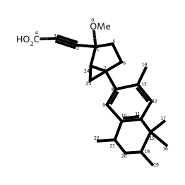 COC1(C#CC(=O)O)CCC2(c3cc4c(cc3C)C(C)(C)C(C)CC4C)CC12